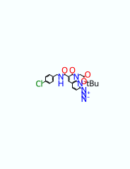 CC(C)(C)OC(=O)Cn1c(=O)c(C(=O)NCc2ccc(Cl)cc2)cc2ccc(N=[N+]=[N-])nc21